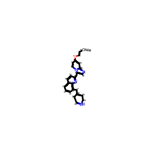 COCCOc1ccn2c(-c3ccc4cccc(CC5CCNCC5)c4n3)cnc2c1